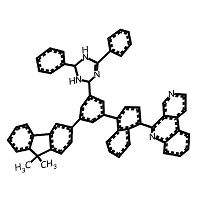 CC1(C)c2ccccc2-c2cc(-c3cc(-c4ccc(-c5nc6ccccc6c6ccncc56)c5ccccc45)cc(C4N=C(c5ccccc5)NC(c5ccccc5)N4)c3)ccc21